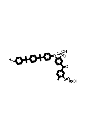 COc1ccc(C(C)(C)c2ccc(C(C)(C)c3ccc(Oc4ccc(C(=O)c5ccc(C)c(SOOO)c5)cc4S(=O)(=O)O)cc3)cc2)cc1